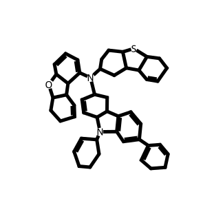 C1=CC2OC3CCC=CC3C2C(N(C2C=CC3C(C2)c2ccc(C4=CCCC=C4)cc2N3C2C=CCCC2)C2CCC3SC4CCC=CC4C3C2)=C1